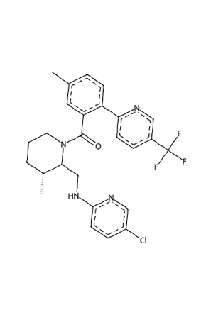 Cc1ccc(-c2ccc(C(F)(F)F)cn2)c(C(=O)N2CCC[C@@H](C)C2CNc2ccc(Cl)cn2)c1